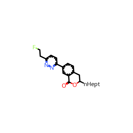 CCCCCCCC1Cc2ccc(-c3ccc(CCF)nn3)cc2C(=O)O1